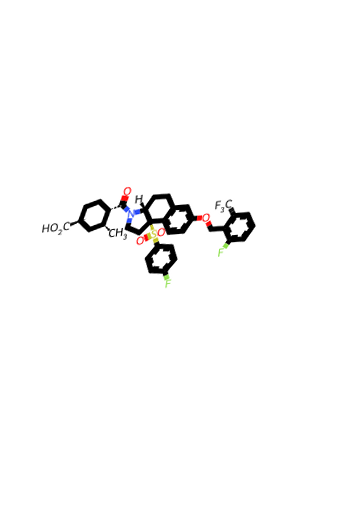 C[C@@H]1C[C@@H](C(=O)O)CC[C@@H]1C(=O)N1CC[C@@]2(S(=O)(=O)c3ccc(F)cc3)c3ccc(OCc4c(F)cccc4C(F)(F)F)cc3CC[C@@H]12